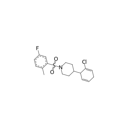 Cc1ccc(F)cc1S(=O)(=O)N1CCC(C2C=CCC=C2Cl)CC1